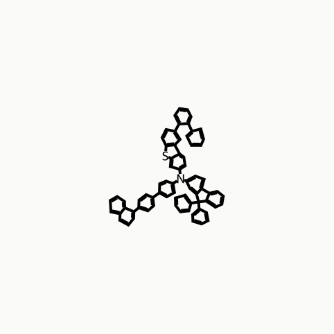 c1ccc(-c2ccccc2-c2ccc3sc4cc(N(c5ccc(-c6ccc(-c7cccc8ccccc78)cc6)cc5)c5ccc6c(c5)C(c5ccccc5)(c5ccccc5)c5ccccc5-6)ccc4c3c2)cc1